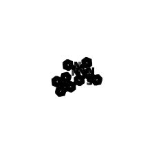 c1ccc(-c2nc(-c3ccccc3)nc(-c3cc(-c4ccc5c(c4)C(c4ccccc4)(c4ccccc4)c4ccccc4-5)ccc3-c3ccnc4c3sc3ccccc34)n2)cc1